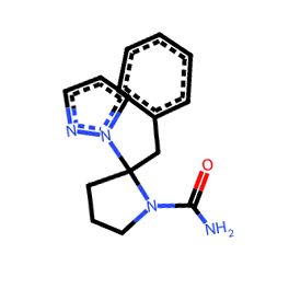 NC(=O)N1CCCC1(Cc1ccccc1)n1cccn1